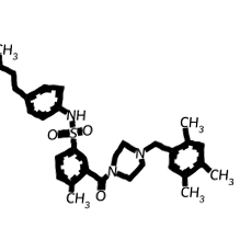 CCCCc1ccc(NS(=O)(=O)c2ccc(C)c(C(=O)N3CCN(Cc4cc(C)c(C)cc4C)CC3)c2)cc1